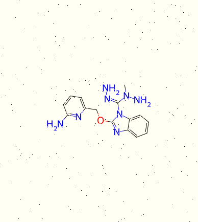 CN(N)/C(=N\N)n1c(OCc2cccc(N)n2)nc2ccccc21